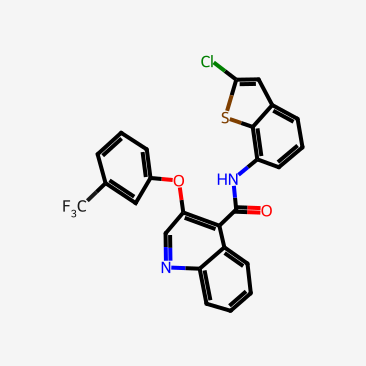 O=C(Nc1cccc2cc(Cl)sc12)c1c(Oc2cccc(C(F)(F)F)c2)cnc2ccccc12